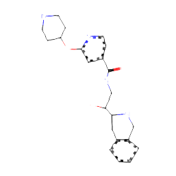 O=C(NCC(O)C1Cc2ccccc2CN1)c1ccnc(OC2CCNCC2)c1